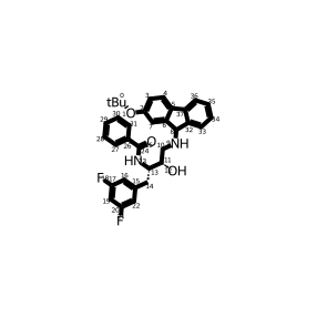 CC(C)(C)Oc1ccc2c(c1)C(NC[C@H](O)[C@H](Cc1cc(F)cc(F)c1)NC(=O)c1ccccc1)c1ccccc1-2